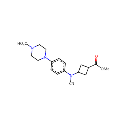 COC(=O)C1CC(N(C#N)c2ccc(N3CCN(C(=O)O)CC3)cc2)C1